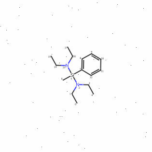 CCN(CC)[Si](C)(c1ccccc1)N(CC)CC